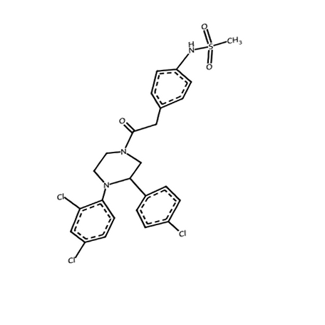 CS(=O)(=O)Nc1ccc(CC(=O)N2CCN(c3ccc(Cl)cc3Cl)C(c3ccc(Cl)cc3)C2)cc1